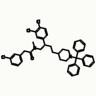 CN(CC(CCC1CCN(C(c2ccccc2)(c2ccccc2)c2ccccc2)CC1)c1ccc(Cl)c(Cl)c1)C(=O)Cc1cccc(Cl)c1